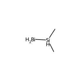 C[SiH](C)[BiH2]